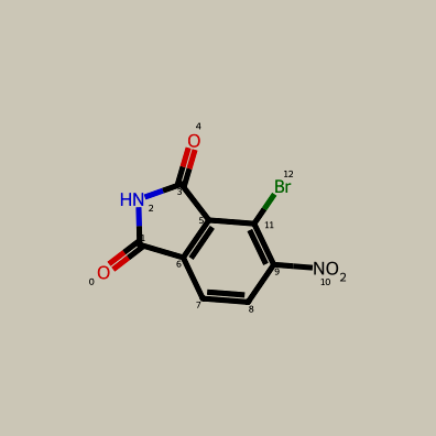 O=C1NC(=O)c2c1ccc([N+](=O)[O-])c2Br